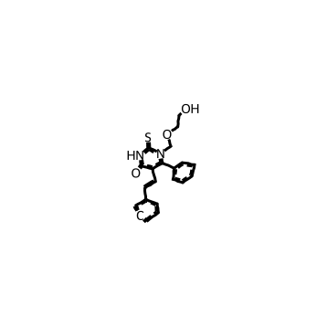 O=c1[nH]c(=S)n(COCCO)c(-c2ccccc2)c1C=Cc1ccccc1